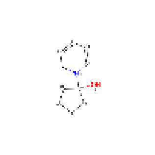 OC1(N2C=CC=CC2)CCCC1